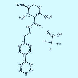 CC(=O)N[C@H]1COC(C(=O)O)=C(C(=O)NCCc2ccc(-c3ccccc3)cc2)[C@@H]1N.O=C(O)C(F)(F)F